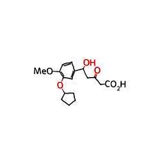 COc1ccc(C(O)CC(=O)CC(=O)O)cc1OC1CCCC1